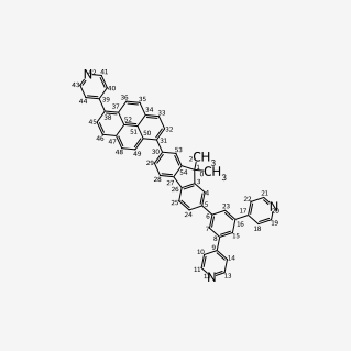 CC1(C)c2cc(-c3cc(-c4ccncc4)cc(-c4ccncc4)c3)ccc2-c2ccc(-c3ccc4ccc5c(-c6ccncc6)ccc6ccc3c4c65)cc21